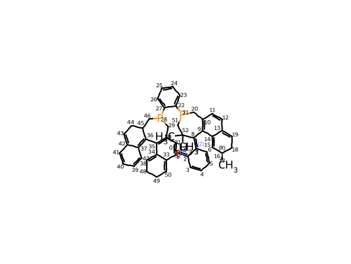 C/C=c1/cccc/c1=C1\c2c(ccc3c2=C[C@H](C)CC=3)CP(c2ccccc2P2Cc3ccc4c(c3C3=c5ccccc5=CCC3C2)=CCCC=4)CC1(C)C